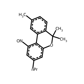 CCCc1cc(N=O)c2c(c1)OC(C)(C)c1ccc(C)cc1-2